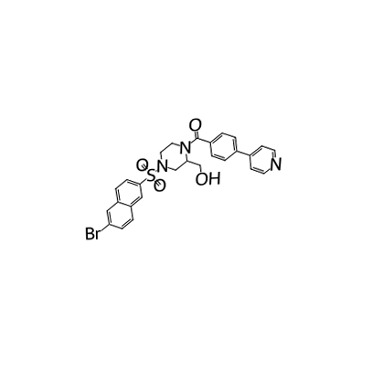 O=C(c1ccc(-c2ccncc2)cc1)N1CCN(S(=O)(=O)c2ccc3cc(Br)ccc3c2)CC1CO